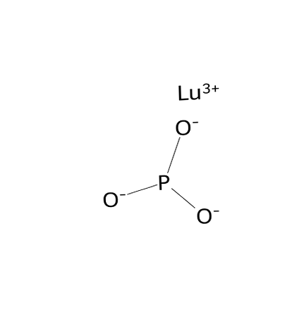 [Lu+3].[O-]P([O-])[O-]